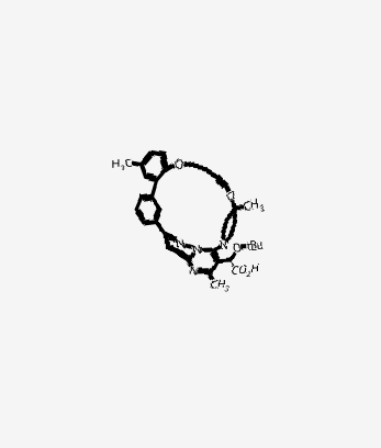 Cc1ccc2c(c1)-c1cccc(c1)-c1cc3nc(C)c([C@H](OC(C)(C)C)C(=O)O)c(n3n1)N1CCC(C)(CC1)OC=CCCO2